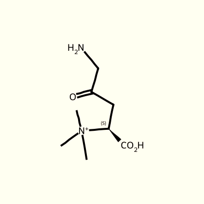 C[N+](C)(C)[C@@H](CC(=O)CN)C(=O)O